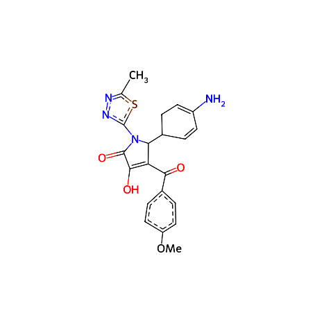 COc1ccc(C(=O)C2=C(O)C(=O)N(c3nnc(C)s3)C2C2C=CC(N)=CC2)cc1